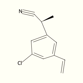 C=Cc1cc(Cl)cc([C@H](C)C#N)c1